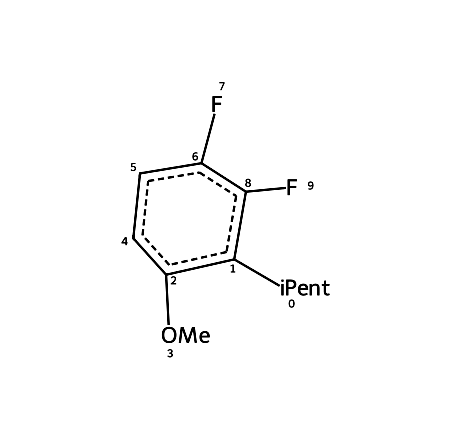 CCCC(C)c1c(OC)ccc(F)c1F